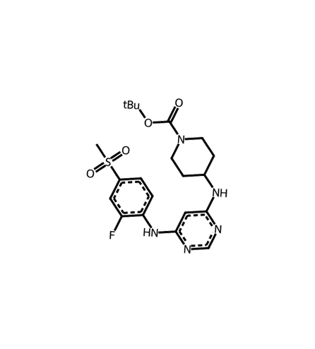 CC(C)(C)OC(=O)N1CCC(Nc2cc(Nc3ccc(S(C)(=O)=O)cc3F)ncn2)CC1